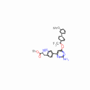 COc1cccc(-c2ccc([C@@H](Oc3cc(-c4ccc(CC(N)C(=O)OC(C)C)cc4)nc(N)n3)C(F)(F)F)cc2)c1